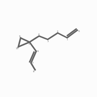 C=CCCCC1(C=CC)CC1